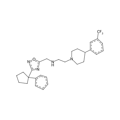 FC(F)(F)c1cccc(C2CCN(CCNCc3nc(C4(c5ccccc5)CCCC4)no3)CC2)c1